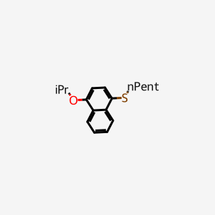 CCCCCSc1ccc(OC(C)C)c2ccccc12